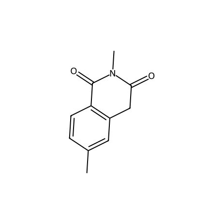 Cc1ccc2c(c1)CC(=O)N(C)C2=O